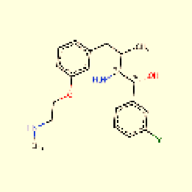 CNCCOc1cccc(CC(C)[C@@H](N)[C@H](O)c2cccc(Cl)c2)c1